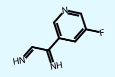 N=CC(=N)c1cncc(F)c1